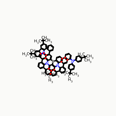 CC(C)(C)c1ccc(N(c2ccc(C(C)(C)C)cc2)c2cccc(-c3ccc4c(c3)N(c3c(-c5ccccc5)cccc3-c3ccccc3)c3cc(C(C)(C)C)cc5c3B4c3cc(-c4ccccc4)c(-n4c6ccc(C(C)(C)C)cc6c6cc(C(C)(C)C)ccc64)cc3N5c3c(-c4ccccc4)cccc3-c3ccccc3)c2)cc1